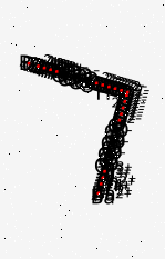 O.O=S(=O)([O-])[O-].O=S(=O)([O-])[O-].O=S(=O)([O-])[O-].O=S(=O)([O-])[O-].O=S(=O)([O-])[O-].O=S(=O)([O-])[O-].O=S(=O)([O-])[O-].[Al+3].[Al+3].[Al+3].[Al+3].[Al+3].[Al+3].[Al+3].[Al+3].[Ba+2].[Ba+2].[Ba+2].[Ba+2].[O-2].[O-2].[O-2].[O-2].[O-2].[O-2].[O-2].[O-2].[O-2].[O-2].[O-2].[O-2].[O-2].[O-2].[O-2].[O-2].[O-2].[O-2].[O-2].[O-2].[O-2].[Zn+2].[Zn+2].[Zn+2].[Zn+2].[Zr+4].[Zr+4].[Zr+4].[Zr+4]